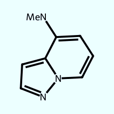 CNc1cccn2nccc12